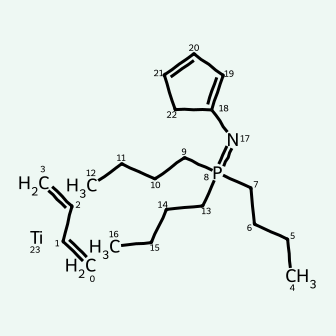 C=CC=C.CCCCP(CCCC)(CCCC)=NC1=CC=CC1.[Ti]